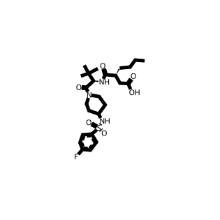 CCCC[C@H](CC(=O)O)C(=O)N[C@H](C(=O)N1CCC(NS(=O)(=O)c2ccc(F)cc2)CC1)C(C)(C)C